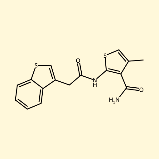 Cc1csc(NC(=O)Cc2csc3ccccc23)c1C(N)=O